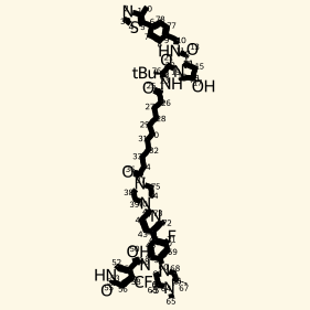 Cc1ncsc1-c1ccc(CNC(=O)[C@@H]2C[C@@H](O)CN2C(=O)[C@@H](NC(=O)CCCCCCCCCC(=O)N2CCN(c3ccc(-c4cc(NC(=O)c5c[nH]c(=O)cc5C(F)(F)F)c(N5C[C@@H](C)N(C)[C@@H](C)C5)cc4F)cn3)CC2)C(C)(C)C)cc1